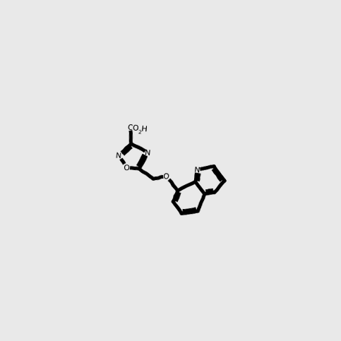 O=C(O)c1noc(COc2cccc3cccnc23)n1